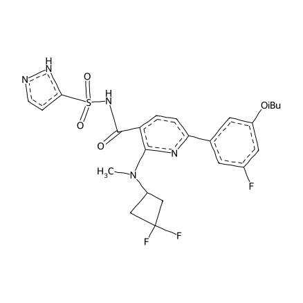 CC(C)COc1cc(F)cc(-c2ccc(C(=O)NS(=O)(=O)c3ccn[nH]3)c(N(C)C3CC(F)(F)C3)n2)c1